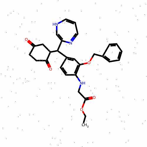 CCOC(=O)CNc1ccc(C(C2=CNC=CC=N2)C2CC(=O)CCC2=O)cc1OCc1ccccc1